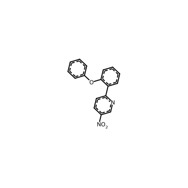 O=[N+]([O-])c1ccc(-c2ccccc2Oc2ccccc2)nc1